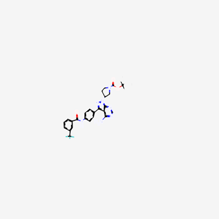 CC(C)(C)OC(=O)N1CC[C@@H](n2nc(-c3ccc(NC(=O)c4cccc(C(F)(F)F)c4)cc3)c3c(N)ncnc32)C1